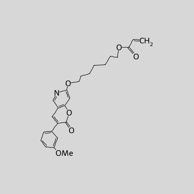 C=CC(=O)OCCCCCCCOc1cc2oc(=O)c(-c3cccc(OC)c3)cc2cn1